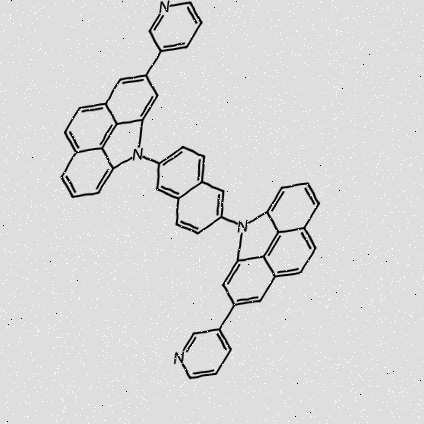 c1cncc(-c2cc3ccc4cccc5c4c3c(c2)n5-c2ccc3cc(-n4c5cccc6ccc7cc(-c8cccnc8)cc4c7c65)ccc3c2)c1